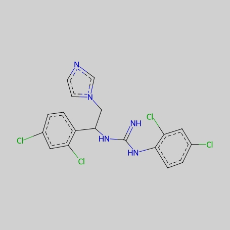 N=C(Nc1ccc(Cl)cc1Cl)NC(Cn1ccnc1)c1ccc(Cl)cc1Cl